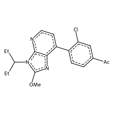 CCC(CC)n1c(OC)nc2c(-c3ccc(C(C)=O)cc3Cl)ccnc21